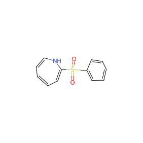 O=S(=O)(C1=CC=CC=CN1)c1ccccc1